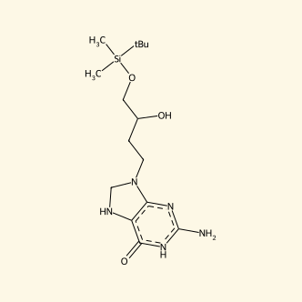 CC(C)(C)[Si](C)(C)OCC(O)CCN1CNc2c1nc(N)[nH]c2=O